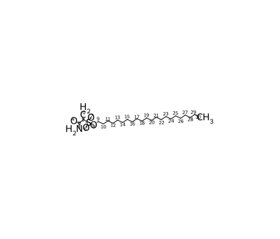 C=C(C(N)=O)S(=O)(=O)OCCCCCCCCCCCCCCCCCCCCCC